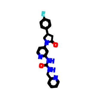 O=C(NCc1ccccn1)Nc1cc(N2CC(c3ccc(F)cc3)CC2=O)ccn1